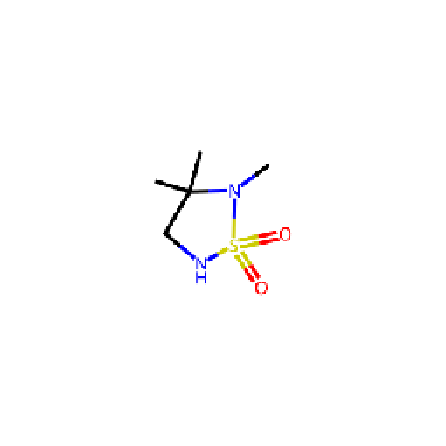 CN1C(C)(C)CNS1(=O)=O